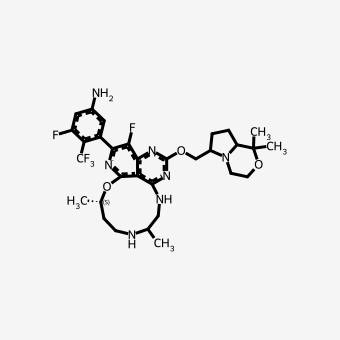 CC1CNc2nc(OCC3CCC4N3CCOC4(C)C)nc3c(F)c(-c4cc(N)cc(F)c4C(F)(F)F)nc(c23)O[C@@H](C)CCN1